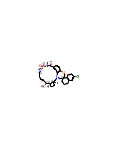 C[C@H]1C/C=C/[C@H](O)[C@@H]2CC[C@H]2CN2C[C@@]3(CCCc4cc(Cl)ccc43)COc3ccc(cc32)C(=O)NS(=O)(=O)N1